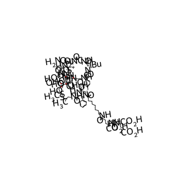 CC[C@H](C)[C@@H]1NC(=O)CNC(=O)C2Cc3c([nH]c4cc(OCCC(C)SSC(C)CCNC(=O)[C@H](Cc5ccccc5)NC(=O)[C@H](Cc5ccccc5)NC(=O)CCCCCCCNC(=O)CCC(NC(=O)NC(CCC(=O)O)C(=O)O)C(=O)O)ccc34)[S+]([O-])CC(NC(=O)CNC1=O)C(=O)N[C@@H](CC(N)=O)C(=O)N1C[C@H](O)C[C@]1(C=O)N[C@@H]([C@@H](C)[C@@H](O)CO)C(=O)N2